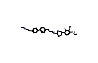 C/C=C/CCc1ccc(-c2ccc(CC/C=C/C3CCC(c4ccc(OCC)c(F)c4F)CC3)cc2)cc1